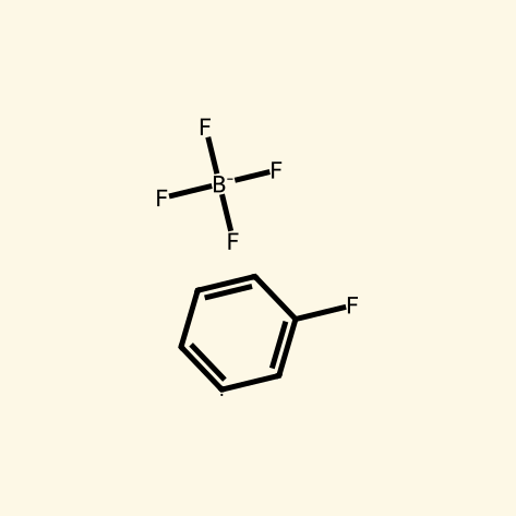 F[B-](F)(F)F.Fc1c[c]ccc1